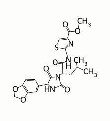 COC(=O)c1csc(NC(=O)[C@H](CC(C)C)N2C(=O)NC(c3ccc4c(c3)OCO4)C2=O)n1